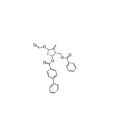 C=C1C(OC=O)CC(OC(=O)c2ccc(-c3ccccc3)cc2)C1COC(=O)c1ccccc1